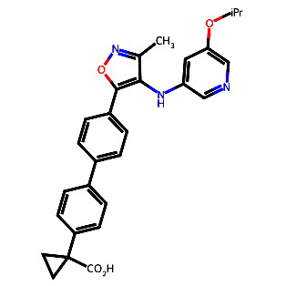 Cc1noc(-c2ccc(-c3ccc(C4(C(=O)O)CC4)cc3)cc2)c1Nc1cncc(OC(C)C)c1